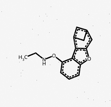 CCNOc1cccc2oc3cc4cc(c3c12)C4